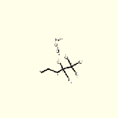 CCCC(Cl)(Cl)C(Cl)(Cl)Cl.[Cl-].[Cl-].[Sb+2]